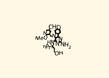 CCC[C@@H](CCO)Nc1nc(N)nc2c3ccccc3n(Cc3cc(C=O)cnc3OC)c12